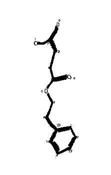 O=C(Cl)CCC(=O)OCCc1ccccc1